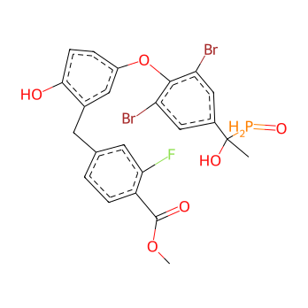 COC(=O)c1ccc(Cc2cc(Oc3c(Br)cc(C(C)(O)[PH2]=O)cc3Br)ccc2O)cc1F